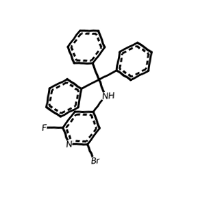 Fc1cc(NC(c2ccccc2)(c2ccccc2)c2ccccc2)cc(Br)n1